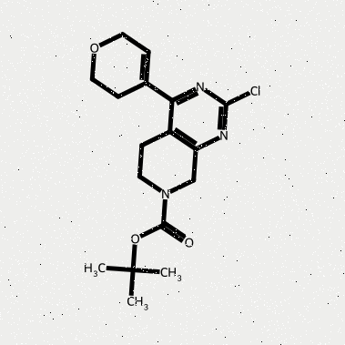 CC(C)(C)OC(=O)N1CCc2c(nc(Cl)nc2C2=CCOCC2)C1